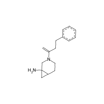 C=C(CCc1ccccc1)N1CCC2CC2(N)C1